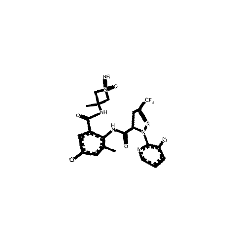 Cc1cc(Cl)cc(C(=O)NC2(C)CS(=N)(=O)C2)c1NC(=O)C1CC(C(F)(F)F)=NN1c1ncccc1Cl